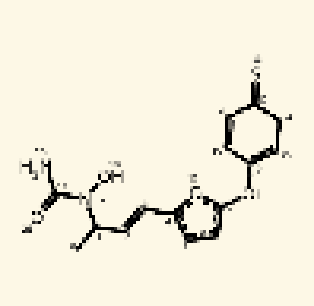 CC(/C=C/c1ccc(OC2=CCC(=S)C=C2)o1)N(O)C(N)=O